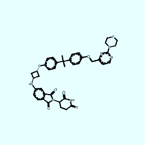 CC(C)(c1ccc(OCc2ccnc(N3CCOCC3)n2)cc1)c1ccc(O[C@H]2C[C@H](Nc3ccc4c(c3)C(=O)N(C3CCC(=O)NC3=O)C4=O)C2)cc1